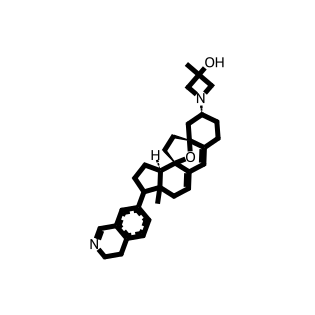 CC1(O)CN([C@@H]2CCC3=CC4=CCC5(C)C(c6ccc7c(c6)C=NCC7)CC[C@H]5[C@@]45CC[C@]3(C2)O5)C1